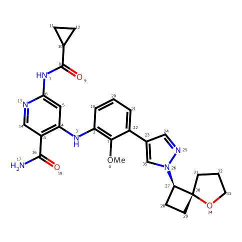 COc1c(Nc2cc(NC(=O)C3CC3)ncc2C(N)=O)cccc1-c1cnn([C@@H]2CC[C@]23CCCO3)c1